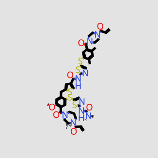 C=CC(=O)N1CCN(C(=O)c2cc(Sc3cnc(NC(=O)c4csc(Cc5cc(OC)c(C(=O)N6CCCN(C(=O)C=C)[C@H](C)C6)cc5Sc5cnc(NC(=O)N(C)C)s5)c4)s3)c(C)cc2C)CC1